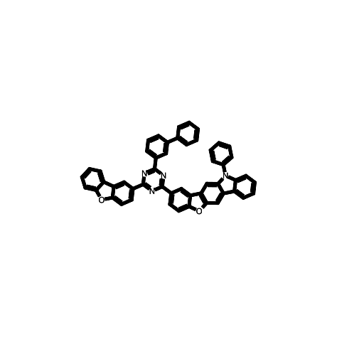 c1ccc(-c2cccc(-c3nc(-c4ccc5oc6ccccc6c5c4)nc(-c4ccc5oc6cc7c8ccccc8n(-c8ccccc8)c7cc6c5c4)n3)c2)cc1